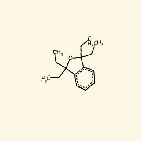 CCC1(CC)OC(CC)(CC)c2ccccc21